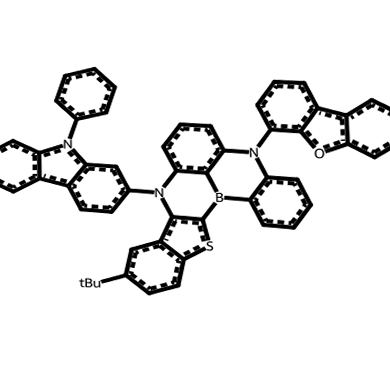 CC(C)(C)c1ccc2sc3c(c2c1)N(c1ccc2c4ccccc4n(-c4ccccc4)c2c1)c1cccc2c1B3c1ccccc1N2c1cccc2c1oc1ccccc12